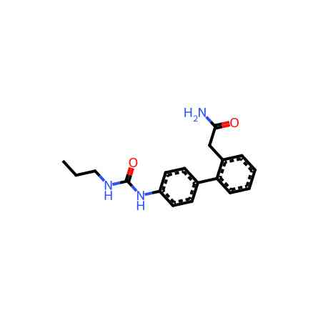 CCCNC(=O)Nc1ccc(-c2ccccc2CC(N)=O)cc1